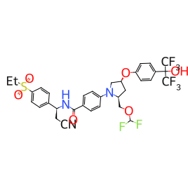 CCS(=O)(=O)c1ccc([C@H](CC#N)NC(=O)c2ccc(N3C[C@@H](Oc4ccc(C(O)(C(F)(F)F)C(F)(F)F)cc4)C[C@H]3COC(F)F)cc2)cc1